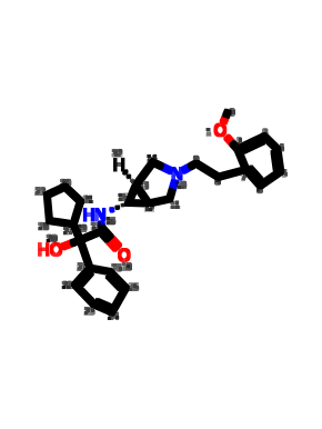 COc1ccccc1CCN1CC2[C@H](C1)[C@H]2NC(=O)C(O)(c1ccccc1)C1CCCC1